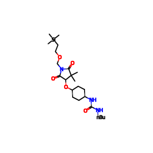 CCCCNC(=O)NC1CCC(OC2C(=O)N(COCC[Si](C)(C)C)C(=O)C2(C)C)CC1